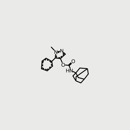 Cn1ncc(OC(=O)NC23CC4CC(CC(C4)C2)C3)c1-c1ccccc1